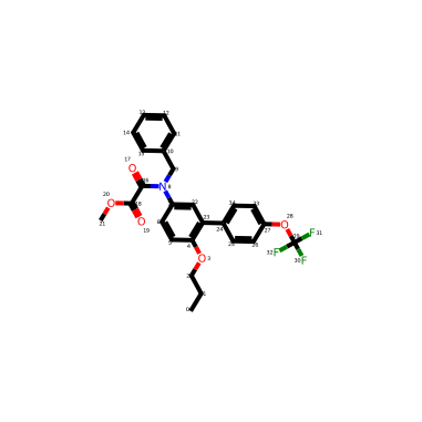 CCCOc1ccc(N(Cc2ccccc2)C(=O)C(=O)OC)cc1-c1ccc(OC(F)(F)F)cc1